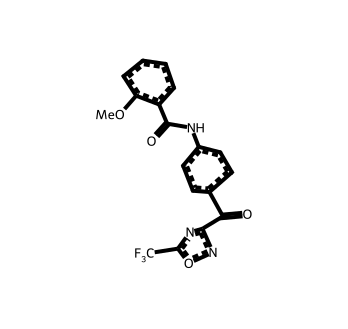 COc1ccccc1C(=O)Nc1ccc(C(=O)c2noc(C(F)(F)F)n2)cc1